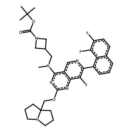 CN(CC1CN(C(=O)OC(C)(C)C)C1)c1nc(OCC23CCCN2CCC3)nc2c(F)c(-c3cccc4ccc(F)c(F)c34)ncc12